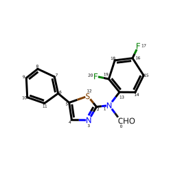 O=CN(c1ncc(-c2ccccc2)s1)c1ccc(F)cc1F